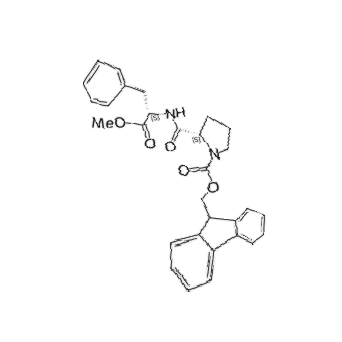 COC(=O)[C@H](Cc1ccccc1)NC(=O)[C@@H]1CCCN1C(=O)OCC1c2ccccc2-c2ccccc21